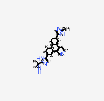 CC(C)c1ncc(-c2ccc3c4ccc(-c5cnc(C6(C)CN6)[nH]5)cc4c4cnccc4c3c2)[nH]1